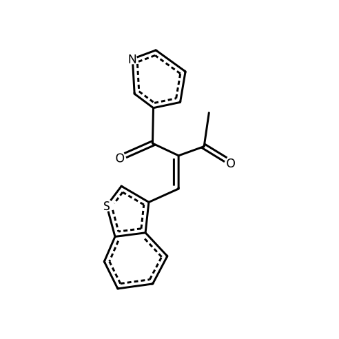 CC(=O)C(=Cc1csc2ccccc12)C(=O)c1cccnc1